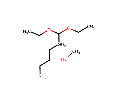 CCOC(OCC)[SiH2]CCCN.CO